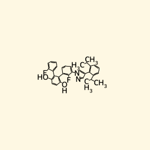 CC(C)c1cccc(C(C)C)c1-c1cnn(-c2cccc(-c3c(O)ccc(O)c3-c3ccccc3F)c2F)c1